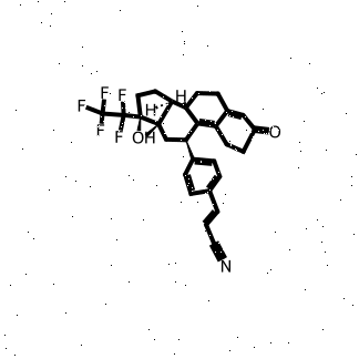 C[C@]12C[C@H](c3ccc(C=CC#N)cc3)C3=C4CCC(=O)C=C4CC[C@H]3[C@@H]1CC[C@@]2(O)C(F)(F)C(F)(F)F